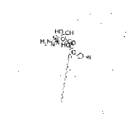 CCCCCCCCCCCCCCCCCCOC[C@H](COP(=O)(O)O[C@@H](C)[C@@]1(C)O[C@@H](c2ccc3c(N)ncnn23)[C@H](O)[C@@H]1O)OCc1ccc(C#N)cc1